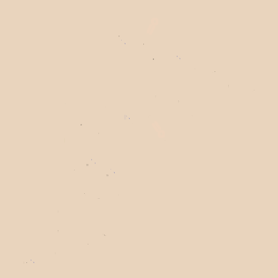 Cc1c(NC(=O)c2cc(C(N)=O)nc3cc(F)ccc23)c(C(F)(F)F)nn1Cc1c(F)cc(C#N)cc1F